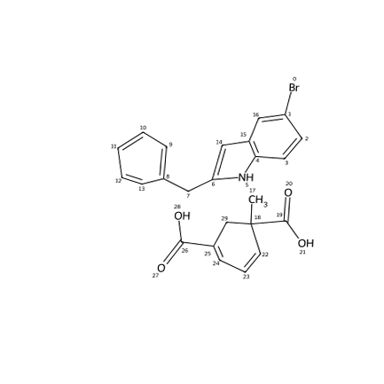 Brc1ccc2[nH]c(Cc3ccccc3)cc2c1.CC1(C(=O)O)C=CC=C(C(=O)O)C1